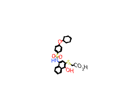 O=C(O)CSc1cc(NS(=O)(=O)c2ccc(OC3CCCCC3)cc2)c2ccccc2c1O